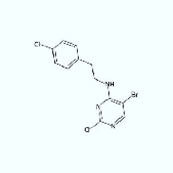 Clc1ccc(CCNc2nc(Cl)ncc2Br)cc1